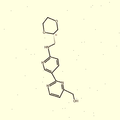 OCc1ccnc(-c2ccc(NC[C@H]3COCCO3)nc2)n1